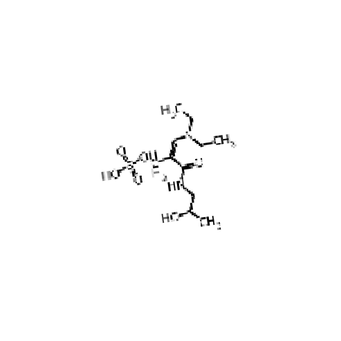 CCN(C=C(C)C(=O)NCC(C)O)CC.O=S(=O)(O)O